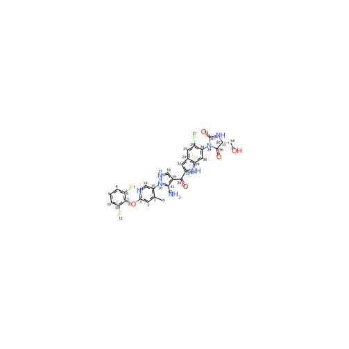 Cc1cc(Oc2c(F)cccc2F)ncc1-n1ncc(C(=O)c2cc3cc(F)c(N4C(=O)N[C@H](CO)C4=O)cc3[nH]2)c1N